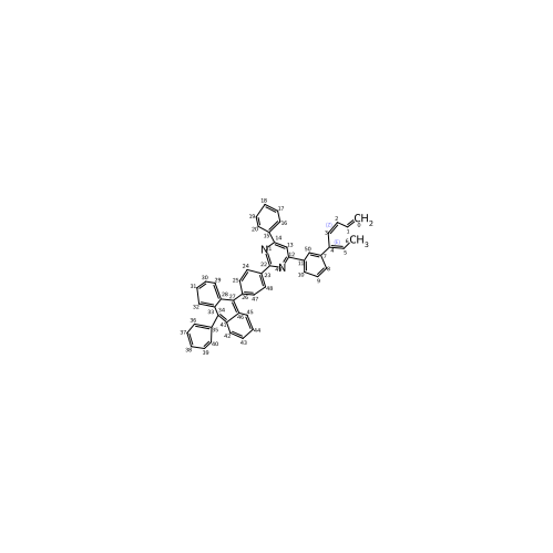 C=C/C=C\C(=C/C)c1cccc(-c2cc(-c3ccccc3)nc(-c3ccc(-c4c5ccccc5c(-c5ccccc5)c5ccccc45)cc3)n2)c1